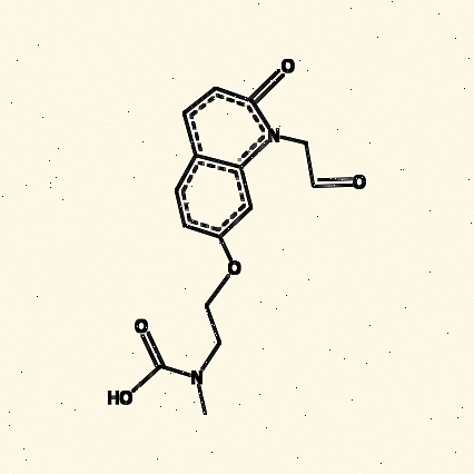 CN(CCOc1ccc2ccc(=O)n(CC=O)c2c1)C(=O)O